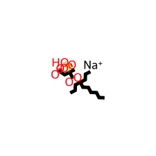 CCCCCCC(CCC)(CCC)OC(=O)C(C)(CC(=O)[O-])S(=O)(=O)O.[Na+]